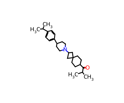 CC(C)C(=O)C1CCC2(CC1)CC(N1CCC(c3ccc(C(C)C)cc3)CC1)C2